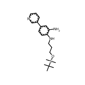 CC(C)(C)[Si](C)(C)OCCCNc1ccc(-c2cccnc2)cc1N